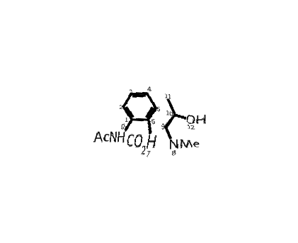 CC(=O)Nc1ccccc1C(=O)O.CNCC(C)O